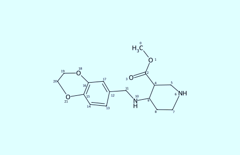 COC(=O)C1CNCCC1NCc1ccc2c(c1)OCCO2